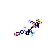 CS(=O)(=O)c1ccc(NCC#Cc2cc3c(NC4CCC(N5CCOCC5)CC4)cccc3n2CC(F)(F)F)c(OCC#N)c1